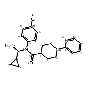 C[C@H](C1CC1)N(C(=O)C1CCN(c2ccccn2)CC1)c1ccc(Cl)cc1